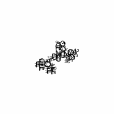 CCS(=O)(=O)c1ccc2c(c1)C(NC(=O)OCCc1cc(C(F)(F)F)cc(C(F)(F)F)c1)CC(C1CC1)N2C(=O)OC(C)C